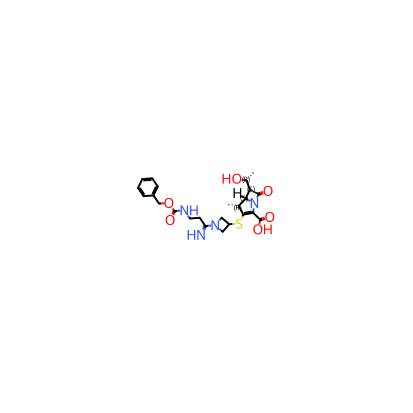 C[C@@H](O)[C@H]1C(=O)N2C(C(=O)O)=C(SC3CN(C(=N)CCNC(=O)OCc4ccccc4)C3)[C@H](C)[C@H]12